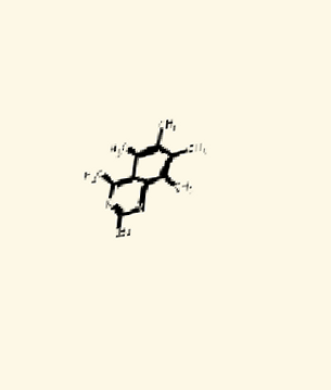 Cc1c(C)c(C)c2c(C)nc(C(C)(C)C)nc2c1C